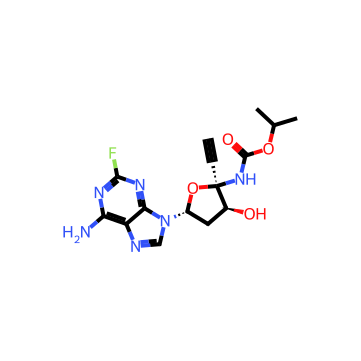 C#C[C@@]1(NC(=O)OC(C)C)O[C@@H](n2cnc3c(N)nc(F)nc32)C[C@@H]1O